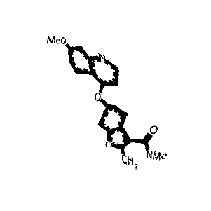 CNC(=O)c1c(C)oc2cc(Oc3ccnc4cc(OC)ccc34)ccc12